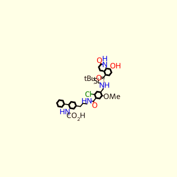 COc1cc(C(=O)NCCCc2ccc(-c3ccccc3)c(NC(=O)O)c2)c(Cl)cc1CNC[C@H](O[Si](C)(C)C(C)(C)C)c1ccc(O)c2[nH]c(=O)ccc12